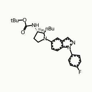 CCCC[C@@H]1[C@@H](NC(=O)OC(C)(C)C)CCN1c1ccc2c(cnn2-c2ccc(F)cc2)c1